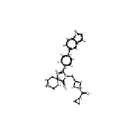 O=C(C1CC1)N1CC(CN2C(=O)C3(CCNCC3)N=C2c2ccc(-c3ccc4occc4c3)cc2)C1